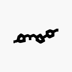 Fc1ccc(CNCc2cccc(-c3ccc(Cl)cc3)c2)cc1